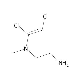 CN(CCN)C(Cl)=CCl